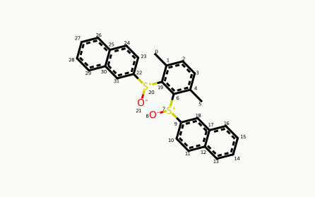 Cc1ccc(C)c([S+]([O-])c2ccc3ccccc3c2)c1[S+]([O-])c1ccc2ccccc2c1